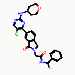 CCC(NC(=O)CN1Cc2ccc(-c3nc(NC4CCOCC4)ncc3Cl)cc2C1=O)c1ccccc1